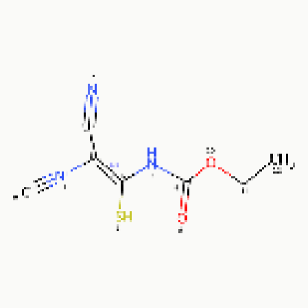 [C-]#[N+]/C(C#N)=C(\S)NC(=O)OCC